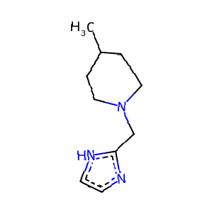 CC1CCN(Cc2ncc[nH]2)CC1